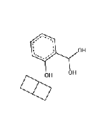 C1CC2CCC12.Oc1ccccc1C(O)O